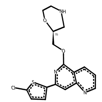 Clc1ccc(-c2cc3ncccc3c(OC[C@@H]3CNCCO3)n2)s1